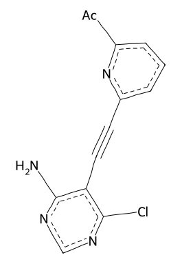 CC(=O)c1cccc(C#Cc2c(N)ncnc2Cl)n1